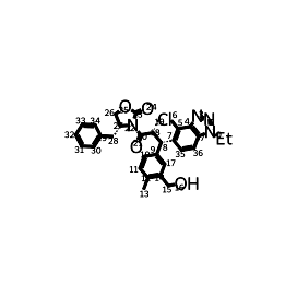 CCn1nnc2c(Cl)c([C@H](c3ccc(C)c(CO)c3)[C@@H](C)C(=O)N3C(=O)OC[C@H]3Cc3ccccc3)ccc21